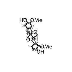 COc1cc(C2OC[C@@H]3C(c4ccc(O)c(OC)c4)OC[C@H]23)ccc1O